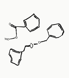 O=C(OO)c1ccccc1.c1ccc(COOCc2ccccc2)cc1